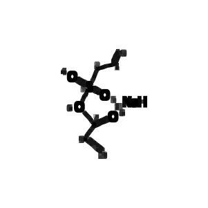 C=CCS(=O)(=O)OC(=O)C=C.[NaH]